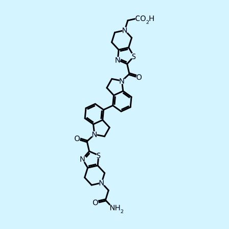 NC(=O)CN1CCc2nc(C(=O)N3CCc4c(-c5cccc6c5CCN6C(=O)c5nc6c(s5)CN(CC(=O)O)CC6)cccc43)sc2C1